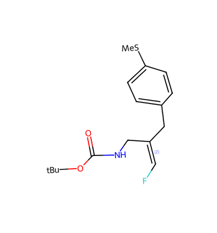 CSc1ccc(C/C(=C/F)CNC(=O)OC(C)(C)C)cc1